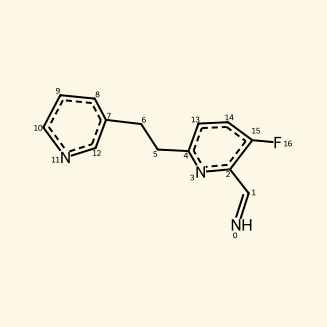 N=Cc1nc(CCc2cccnc2)ccc1F